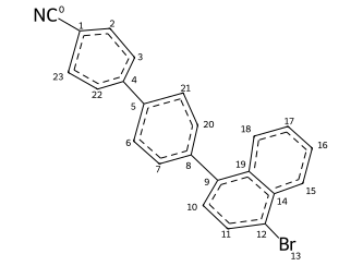 N#Cc1ccc(-c2ccc(-c3ccc(Br)c4ccccc34)cc2)cc1